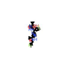 O=C(CC1CC(F)(F)C1)N[C@@H](c1cnn2cc([C@@H](NC(=O)c3nonc3[C@@H](O)C3CC3)C3CCC(F)(F)CC3)nc2c1)C1CC1